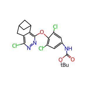 CC(C)(C)OC(=O)Nc1cc(Cl)c(Oc2nnc(Cl)c3c2C2CC(C3)C2)c(Cl)c1